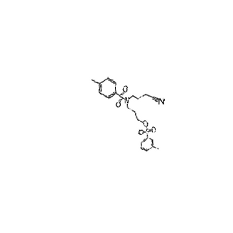 Cc1ccc(S(=O)(=O)N(CCCC#N)CCCOS(=O)(=O)c2cccc(C)c2)cc1